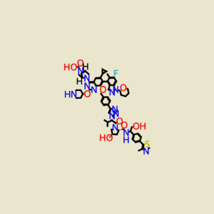 Cc1ncsc1-c1ccc(C(CO)NC(=O)[C@@H]2C[C@@H](O)CN2C(=O)C(C(C)C)n2cc(-c3ccc(COc4c(-c5c(C)c(F)cc6c5cnn6C5CCCCO5)c(C5CC5)cc5c(N6C[C@@H]7C[C@H]6CN7C(=O)O)nc(OC6CCNCC6)nc45)cc3)nn2)cc1